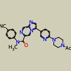 CC(=O)N1CCN(c2ccc(-c3cnc4cnc(C(=O)N(C)c5ccc(C#N)cc5)cn34)cn2)CC1